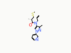 C=CCN(C(=O)[C@H](C)CSC)c1cn(-c2cccnc2)nc1C